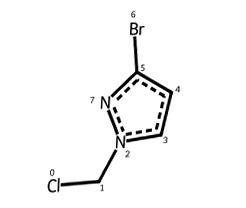 ClCn1ccc(Br)n1